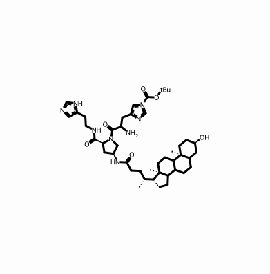 C[C@H](CCC(=O)N[C@H]1C[C@@H](C(=O)NCCc2cnc[nH]2)N(C(=O)C(N)Cc2cn(C(=O)OC(C)(C)C)cn2)C1)[C@H]1CCC2C3CCC4C[C@H](O)CC[C@]4(C)C3CC[C@@]21C